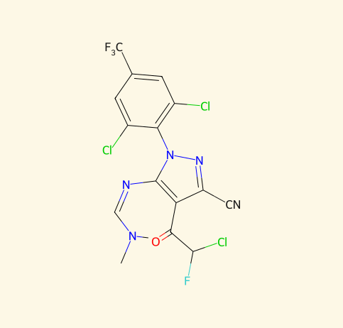 CN(C)/C=N\c1c(C(=O)C(F)Cl)c(C#N)nn1-c1c(Cl)cc(C(F)(F)F)cc1Cl